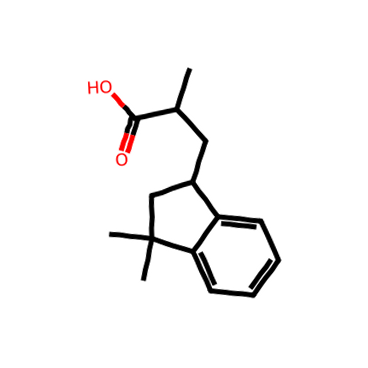 CC(CC1CC(C)(C)c2ccccc21)C(=O)O